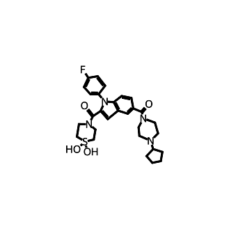 O=C(c1ccc2c(c1)cc(C(=O)N1CCS(O)(O)CC1)n2-c1ccc(F)cc1)N1CCN(C2CCCC2)CC1